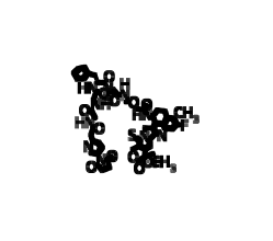 CC[C@@]1(O)C(=O)OCc2c1cc1n(c2=S)Cc2c-1nc1cc(F)c(C)c3c1c2C(NC(=O)COCNC(=O)CNC(=O)[C@H](Cc1ccccc1)NC(=O)CNC(=O)CNC(=O)Cc1ccc(N2C(=O)C=CC2=O)cn1)CC3